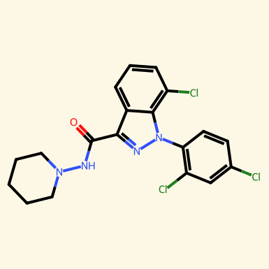 O=C(NN1CCCCC1)c1nn(-c2ccc(Cl)cc2Cl)c2c(Cl)cccc12